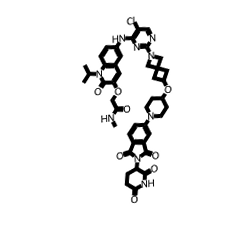 CNC(=O)COc1cc2cc(Nc3nc(N4CC5(CC(OC6CCN(c7ccc8c(c7)C(=O)N(C7CCC(=O)NC7=O)C8=O)CC6)C5)C4)ncc3Cl)ccc2n(C(C)C)c1=O